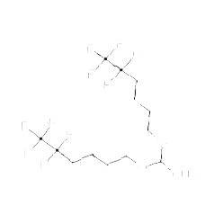 CC(OCCCCC(F)(F)C(F)(F)F)OCCCCC(F)(F)C(F)(F)F